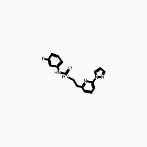 O=C(NCCc1cccc(-n2cccn2)n1)Nc1cccc(F)c1